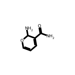 NC(=O)C1=CC=COC1N